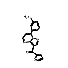 O=C(c1cccs1)c1cnn2c(-c3cccc([AsH2])c3)ccnc12